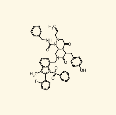 C=CCN1CC(=O)N2C(Cc3ccc(O)cc3)C(=O)N(Cc3cccc4c(C)c(-c5ccccc5F)n(S(=O)(=O)c5ccccc5)c34)CC2N1C(=O)NCc1ccccc1